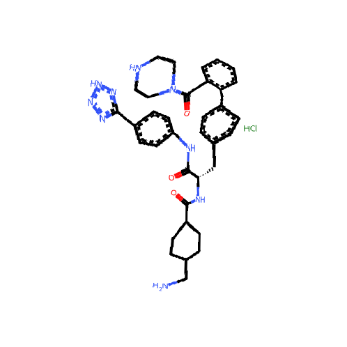 Cl.NCC1CCC(C(=O)N[C@@H](Cc2ccc(-c3ccccc3C(=O)N3CCNCC3)cc2)C(=O)Nc2ccc(-c3nn[nH]n3)cc2)CC1